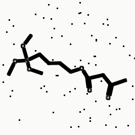 CO[Si](CCCCOC(=O)CC(C)=O)(OC)OC